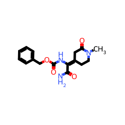 CN1CC/C(=C(/NC(=O)OCc2ccccc2)C(N)=O)CC1=O